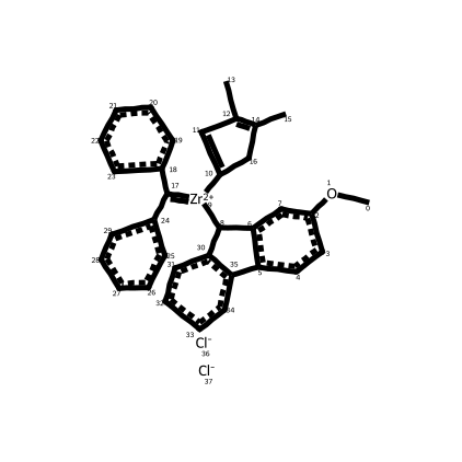 COc1ccc2c(c1)[CH]([Zr+2]([C]1=CC(C)=C(C)C1)=[C](c1ccccc1)c1ccccc1)c1ccccc1-2.[Cl-].[Cl-]